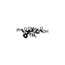 COc1c(C(=O)NC2CCN(C(=O)CO)CC2)n(C)c2c1c(=O)n(CCC(C)C)c1ccccc21